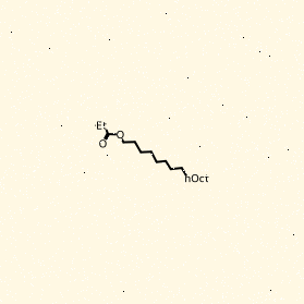 C[CH]C(=O)OCCCCCCCCCCCCCCCC